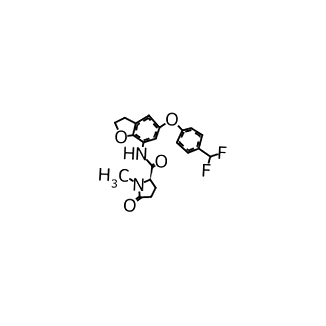 CN1C(=O)CC[C@@H]1C(=O)Nc1cc(Oc2ccc(C(F)F)cc2)cc2c1OCC2